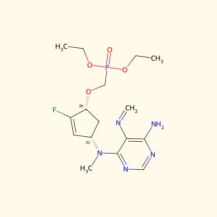 C=Nc1c(N)ncnc1N(C)[C@@H]1C=C(F)[C@H](OCP(=O)(OCC)OCC)C1